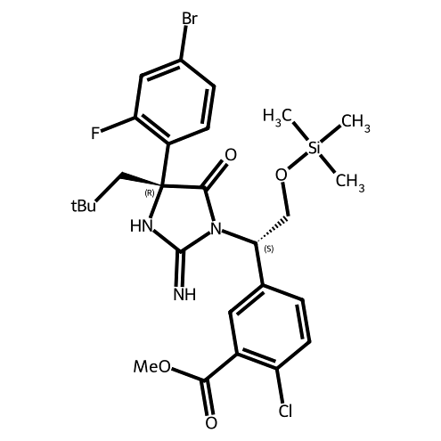 COC(=O)c1cc([C@@H](CO[Si](C)(C)C)N2C(=N)N[C@](CC(C)(C)C)(c3ccc(Br)cc3F)C2=O)ccc1Cl